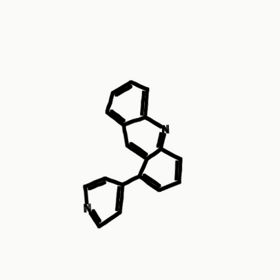 c1ccc2nc3cccc(-c4ccncc4)c3cc2c1